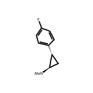 CN[C@@H]1C[C@H]1c1ccc(F)cc1